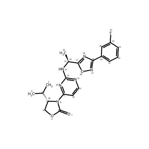 CC(C)[C@H]1COC(=O)N1c1ccnc(N[C@@H](C)c2nc(-c3cccc(F)c3)no2)n1